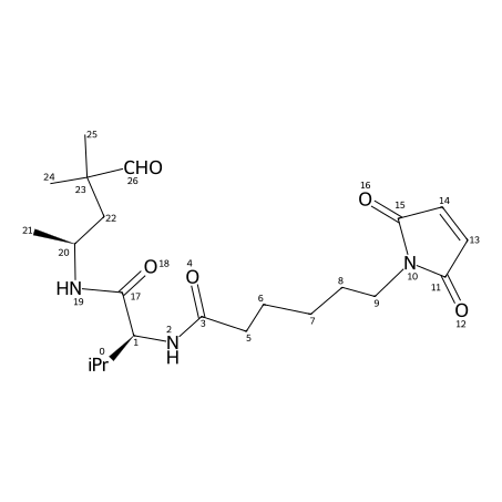 CC(C)[C@H](NC(=O)CCCCCN1C(=O)C=CC1=O)C(=O)N[C@@H](C)CC(C)(C)C=O